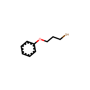 SCCCOc1cc[c]cc1